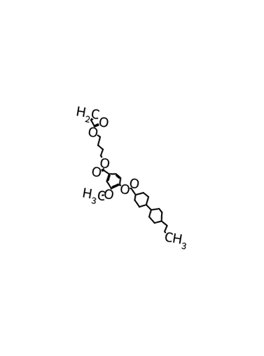 C=CC(=O)OCCCCOC(=O)c1ccc(OC(=O)C2CCC(C3CCC(CCC)CC3)CC2)c(OC)c1